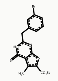 CCOC(=O)c1sc2nc(Cc3cccc(Br)c3)[nH]c(=S)c2c1C